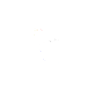 O=C(C[SH-]S(=O)(=O)[O-])Nc1ccc(F)cn1.[Na+].[Na+]